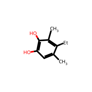 CCc1c(C)cc(O)c(O)c1C